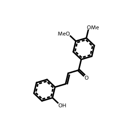 COc1ccc(C(=O)C=Cc2ccccc2O)cc1OC